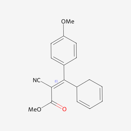 COC(=O)/C(C#N)=C(/c1ccc(OC)cc1)C1C=CC=CC1